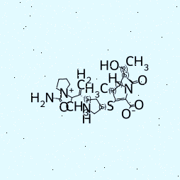 C=C(C(C)[N+]1(C(N)=O)CCCC1)[C@@H]1C[C@H](SC2=C(C(=O)[O-])N3C(=O)[C@H]([C@@H](C)O)[C@H]3[C@H]2C)CN1